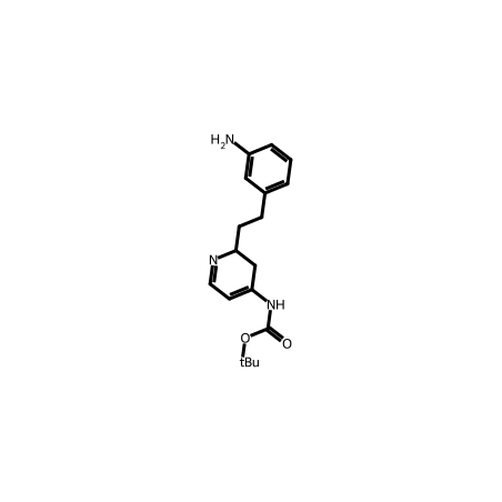 CC(C)(C)OC(=O)NC1=CC=NC(CCc2cccc(N)c2)C1